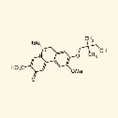 COc1cc2c(cc1OCC(C)(C)CO)C[C@@H](C(C)(C)C)n1cc(C(=O)O)c(=O)cc1-2